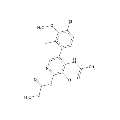 COC(=O)Oc1ncc(-c2ccc(Cl)c(OC)c2F)c(NC(C)=O)c1Cl